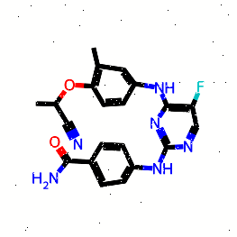 Cc1cc(Nc2nc(Nc3ccc(C(N)=O)cc3)ncc2F)ccc1OC(C)C#N